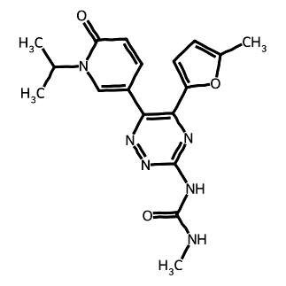 CNC(=O)Nc1nnc(-c2ccc(=O)n(C(C)C)c2)c(-c2ccc(C)o2)n1